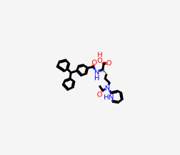 CC(=O)N(CCC[C@H](NC(=O)c1ccc(C(c2ccccc2)c2ccccc2)cc1)C(=O)O)C1=CC=CC=CN1